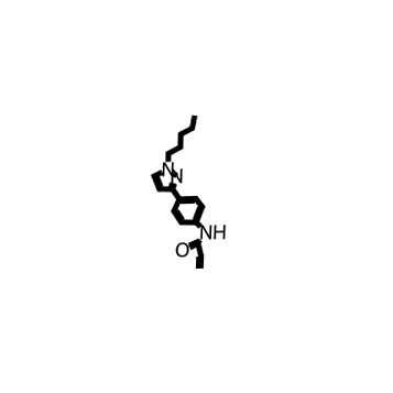 C=CC(=O)Nc1ccc(-c2ccn(CCCCC)n2)cc1